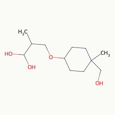 CC(COC1CCC(C)(CO)CC1)C(O)O